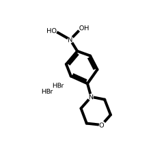 Br.Br.ON(O)c1ccc(N2CCOCC2)cc1